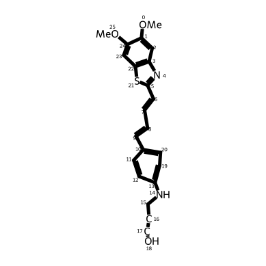 COc1cc2nc(/C=C/C=C/c3ccc(NCCCO)cc3)sc2cc1OC